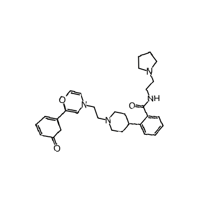 O=C1C=CC=C(C2=CN(CCN3CCC(c4ccccc4C(=O)NCCN4CCCC4)CC3)C=CO2)C1